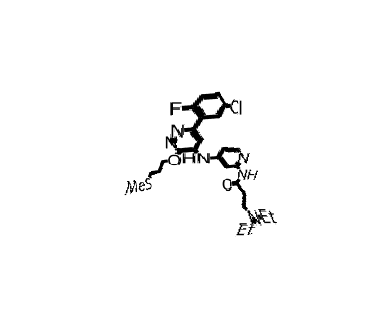 CCN(CC)CCC(=O)Nc1cc(Nc2cc(-c3cc(Cl)ccc3F)nnc2OCCCSC)ccn1